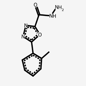 Cc1ccccc1-c1nnc(C(=O)NN)o1